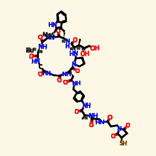 CC[C@H](C)[C@@H]1NC(=O)CNC(=O)[C@H](Cc2c(SC)[nH]c3ccccc23)NC(=O)[C@H]([C@@H](C)[C@@H](O)CO)NC2CCCN2C(=O)[C@H](CC(=O)NCc2ccc(NC(=O)[C@H](C)NC(=O)CNC(=O)CCN3C(=O)CC(S)C3=O)cc2)NC(=O)CNC(=O)CNC1=O